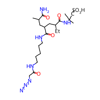 CCC(CC(CC(C)C(N)=O)C(=O)NCCCCCNC(=O)CN=[N+]=[N-])C(=O)NC(C)(C)CS(=O)(=O)O